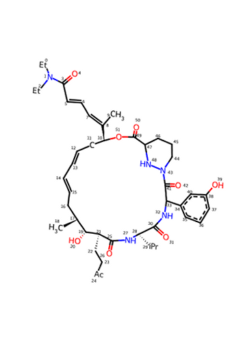 CCN(CC)C(=O)/C=C/C=C(\C)[C@@H]1C/C=C/C=C/C[C@H](C)[C@@H](O)[C@@H](CCC(C)=O)C(=O)N[C@@H](C(C)C)C(=O)NC(c2cccc(O)c2)C(=O)N2CCCC(N2)C(=O)O1